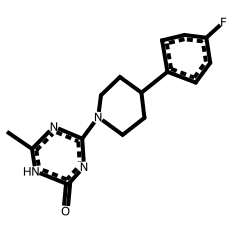 Cc1nc(N2CCC(c3ccc(F)cc3)CC2)nc(=O)[nH]1